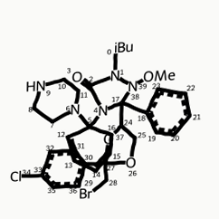 CCC(C)N1C(=O)N(C2(N3CCNCC3)C=CC=CC2)C(c2ccccc2)(C2COC(CBr)(c3ccc(Cl)cc3)O2)N1OC